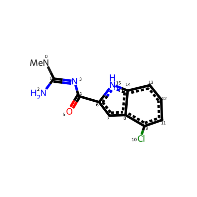 CNC(N)=NC(=O)c1cc2c(Cl)cccc2[nH]1